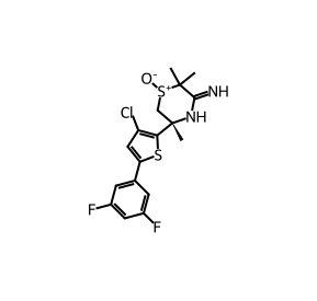 CC1(C)C(=N)N[C@](C)(c2sc(-c3cc(F)cc(F)c3)cc2Cl)C[S+]1[O-]